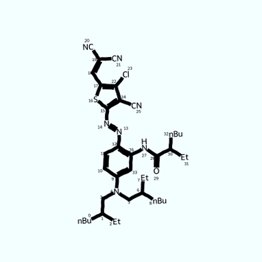 CCCCC(CC)CN(CC(CC)CCCC)c1ccc(/N=N/c2sc(C=C(C#N)C#N)c(Cl)c2C#N)c(NC(=O)C(CC)CCCC)c1